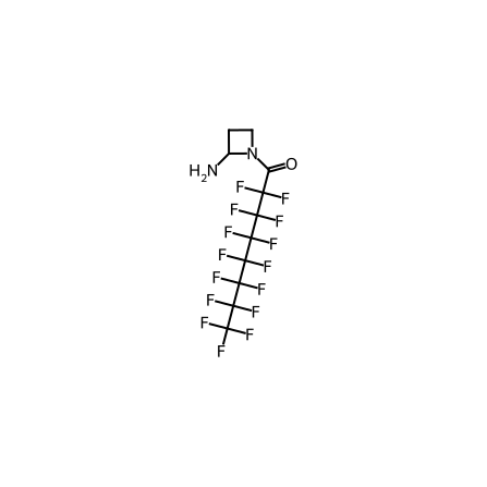 NC1CCN1C(=O)C(F)(F)C(F)(F)C(F)(F)C(F)(F)C(F)(F)C(F)(F)C(F)(F)F